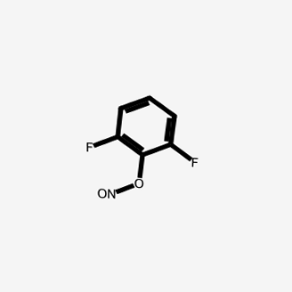 O=NOc1c(F)cccc1F